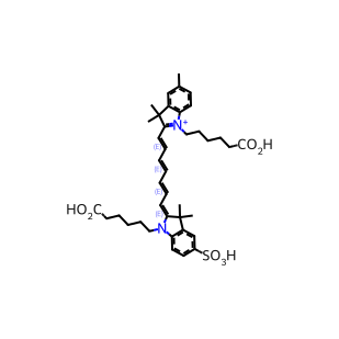 Cc1ccc2c(c1)C(C)(C)C(/C=C/C=C/C=C/C=C1/N(CCCCCC(=O)O)c3ccc(S(=O)(=O)O)cc3C1(C)C)=[N+]2CCCCCC(=O)O